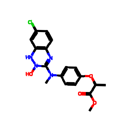 COC(=O)C(C)Oc1ccc(N(C)C2=Nc3ccc(Cl)cc3NN2O)cc1